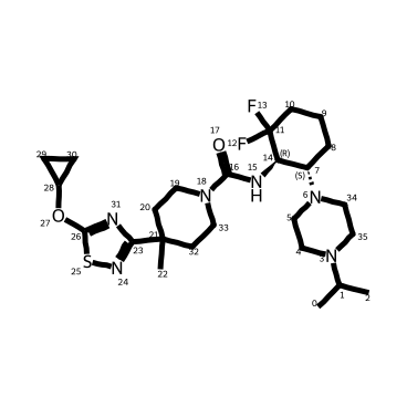 CC(C)N1CCN([C@H]2CCCC(F)(F)[C@@H]2NC(=O)N2CCC(C)(c3nsc(OC4CC4)n3)CC2)CC1